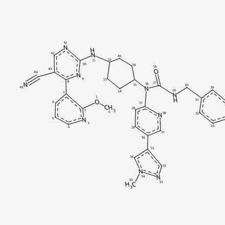 COc1ncccc1-c1nc(NC2CCC(N(C(=O)NCc3ccccc3)c3ccc(-c4cnn(C)c4)cn3)CC2)ncc1C#N